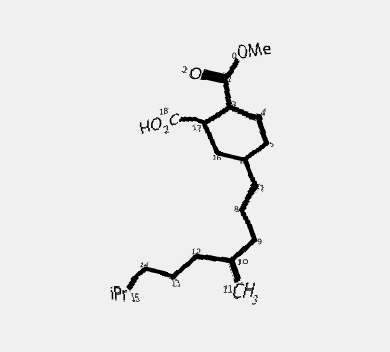 COC(=O)C1CCC(CCCC(C)CCCC(C)C)CC1C(=O)O